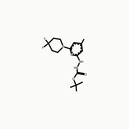 Cc1cc(NNC(=O)OC(C)(C)C)nc(N2CCC(F)(F)CC2)c1